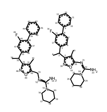 Cc1c(C(C)c2ccc(-c3ccccc3)c(F)c2)noc1/N=C(/N)N1CCCCC1.Cc1c(C(C)c2ccc(-c3ccccc3)c(F)c2)noc1C/N=C(\N)N1CCCCC1